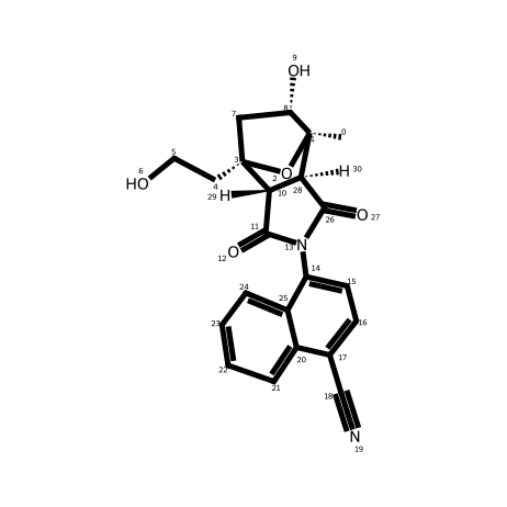 C[C@]12O[C@](CCO)(C[C@@H]1O)[C@H]1C(=O)N(c3ccc(C#N)c4ccccc34)C(=O)[C@@H]12